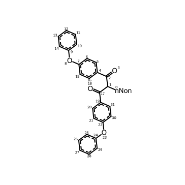 CCCCCCCCCC(C(=O)c1ccc(Oc2ccccc2)cc1)C(=O)c1ccc(Oc2ccccc2)cc1